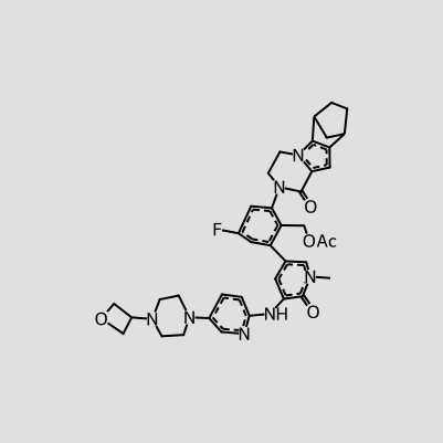 CC(=O)OCc1c(-c2cc(Nc3ccc(N4CCN(C5COC5)CC4)cn3)c(=O)n(C)c2)cc(F)cc1N1CCn2c(cc3c2C2CCC3C2)C1=O